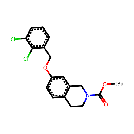 CC(C)(C)OC(=O)N1CCc2ccc(OCc3cccc(Cl)c3Cl)cc2C1